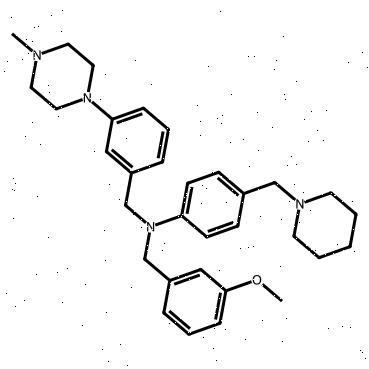 COc1cccc(CN(Cc2cccc(N3CCN(C)CC3)c2)c2ccc(CN3CCCCC3)cc2)c1